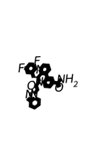 NC(=O)c1cccc(-c2cccnc2[C@H](Cc2cc(F)cc(F)c2)NC(=O)Cn2ncc3c2CCCC3)c1